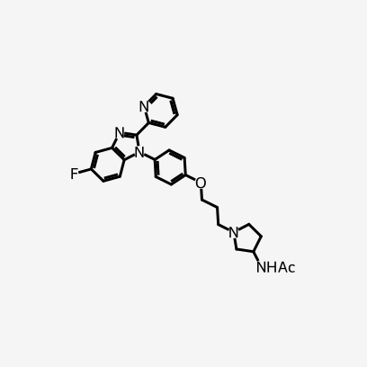 CC(=O)NC1CCN(CCCOc2ccc(-n3c(-c4ccccn4)nc4cc(F)ccc43)cc2)C1